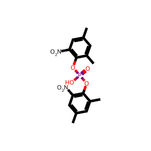 Cc1cc(C)c(OP(=O)(O)Oc2c(C)cc(C)cc2[N+](=O)[O-])c([N+](=O)[O-])c1